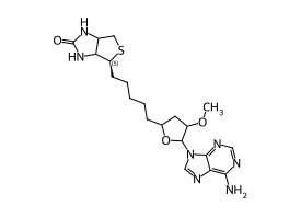 COC1CC(CCCCC[C@@H]2SCC3NC(=O)NC32)OC1n1cnc2c(N)ncnc21